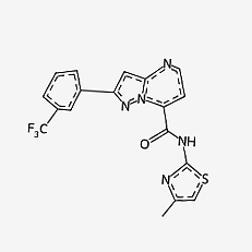 Cc1csc(NC(=O)c2ccnc3cc(-c4cccc(C(F)(F)F)c4)nn23)n1